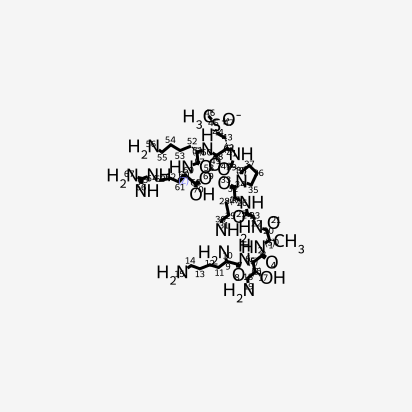 C[C@H](NC(=O)[C@@H](NC(=O)C(N)CCCCN)[C@@H](O)CN)C(=O)NCC(=O)N[C@H](CCCN)C(=O)N1CCC[C@H]1C(=O)N[C@@H](CC[S+](C)[O-])C(=O)N[C@@H](CCCCN)C(=O)N/C(=C\CCNC(=N)N)C(=O)O